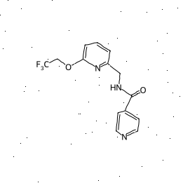 O=C(NCc1cccc(OCC(F)(F)F)n1)c1ccncc1